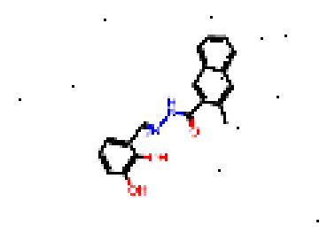 Cc1cc2ccccc2cc1C(=O)N/N=C/c1cccc(O)c1O